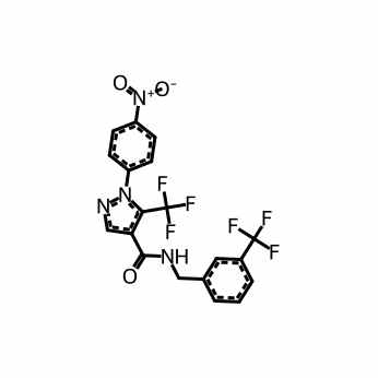 O=C(NCc1cccc(C(F)(F)F)c1)c1cnn(-c2ccc([N+](=O)[O-])cc2)c1C(F)(F)F